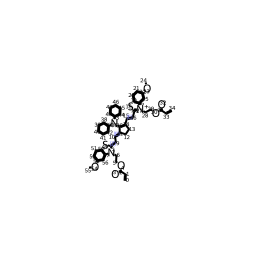 C=CC(=O)OCCN1/C(=C/C=C2\CCC(/C=C/c3sc4ccc(OC)cc4[n+]3CCOC(=O)C=C)=C2N(c2ccccc2)c2ccccc2)Sc2ccc(OC)cc21